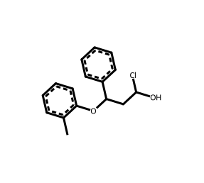 Cc1ccccc1OC(CC(O)Cl)c1ccccc1